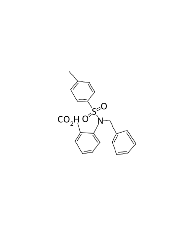 Cc1ccc(S(=O)(=O)N(Cc2ccccc2)c2ccccc2C(=O)O)cc1